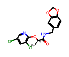 CC[C@@H](Oc1ncc(Cl)cc1Cl)C(=O)NCc1ccc2c(c1)OCO2